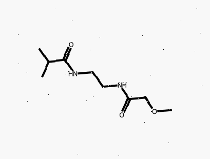 COCC(=O)NCCNC(=O)C(C)C